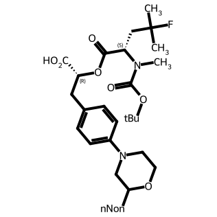 CCCCCCCCCC1CN(c2ccc(C[C@@H](OC(=O)[C@H](CC(C)(C)F)N(C)C(=O)OC(C)(C)C)C(=O)O)cc2)CCO1